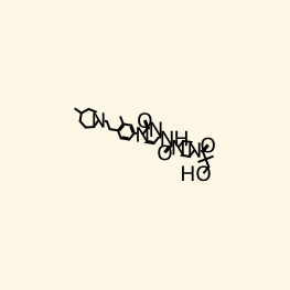 Cc1cc(-n2ccc(NC(=O)N3CCN(C(=O)C(C)(C)CO)CC3)nc2=O)ccc1CCN1CCCC(C)CC1